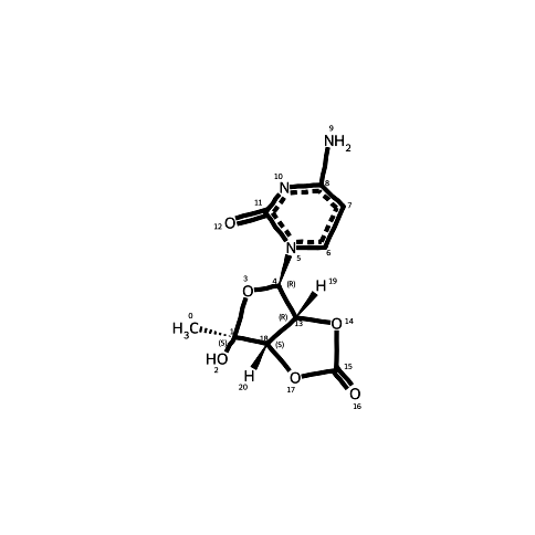 C[C@]1(O)O[C@@H](n2ccc(N)nc2=O)[C@@H]2OC(=O)O[C@@H]21